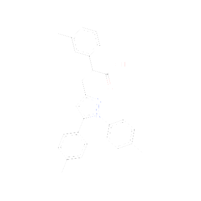 Cc1ccc(-c2cc(CC(C(=O)O)c3cccc(C)c3)nn2-c2ccc(C)cc2)cc1